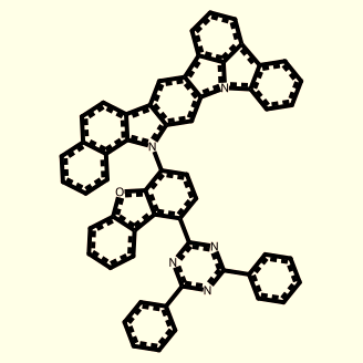 c1ccc(-c2nc(-c3ccccc3)nc(-c3ccc(-n4c5cc6c(cc5c5ccc7ccccc7c54)c4cccc5c7ccccc7n6c54)c4oc5ccccc5c34)n2)cc1